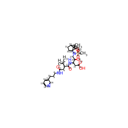 CC(C)C(CC(=O)NCCCc1cccnc1)C(=O)NC(CC(=O)O)C(=O)CN(C12CCC(CC1=O)C2(C)C)S(C)(=O)=O